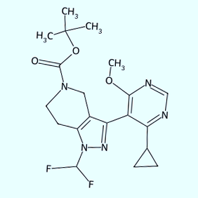 COc1ncnc(C2CC2)c1-c1nn(C(F)F)c2c1CN(C(=O)OC(C)(C)C)CC2